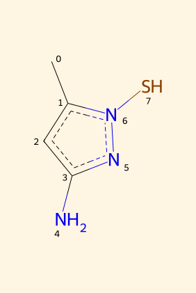 Cc1cc(N)nn1S